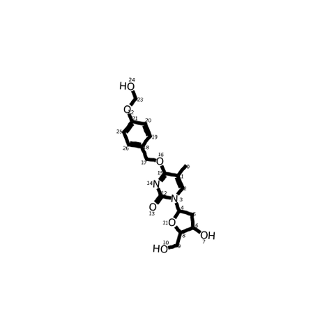 Cc1cn(C2CC(O)C(CO)O2)c(=O)nc1OCc1ccc(OCO)cc1